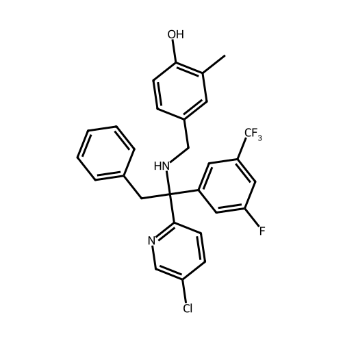 Cc1cc(CNC(Cc2ccccc2)(c2cc(F)cc(C(F)(F)F)c2)c2ccc(Cl)cn2)ccc1O